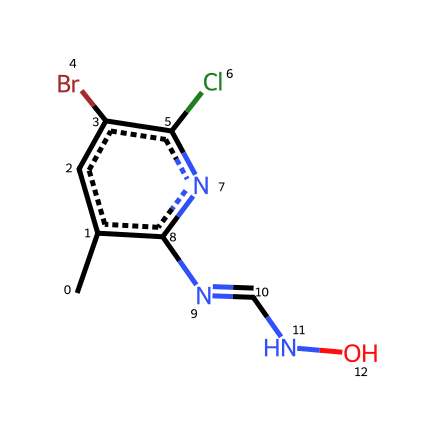 Cc1cc(Br)c(Cl)nc1N=CNO